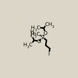 CC(C)O[Si](C)(CCCI)OC(C)C